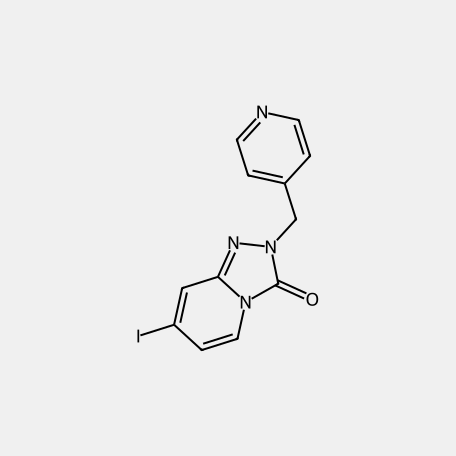 O=c1n(Cc2ccncc2)nc2cc(I)ccn12